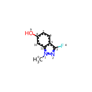 Cn1nc(F)c2ccc(O)cc21